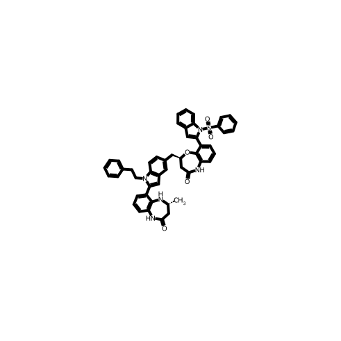 C[C@@H]1CC(=O)Nc2cccc(-c3cc4cc(C[C@@H]5CC(=O)Nc6cccc(-c7cc8ccccc8n7S(=O)(=O)c7ccccc7)c6O5)ccc4n3CCc3ccccc3)c2N1